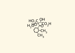 Cc1cccc(C(=O)C(O)(C(=O)O)C(O)C(=O)O)c1C.O